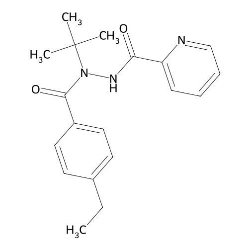 CCc1ccc(C(=O)N(NC(=O)c2ccccn2)C(C)(C)C)cc1